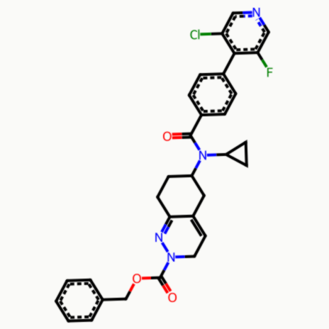 O=C(OCc1ccccc1)N1CC=C2CC(N(C(=O)c3ccc(-c4c(F)cncc4Cl)cc3)C3CC3)CCC2=N1